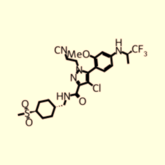 COc1cc(N[C@H](C)C(F)(F)F)ccc1-c1c(Cl)c(C(=O)NC[C@H]2CC[C@H](S(C)(=O)=O)CC2)nn1CCC#N